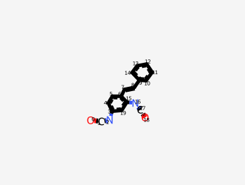 O=C=Nc1ccc(/C=C/c2ccccc2)c(N=C=O)c1